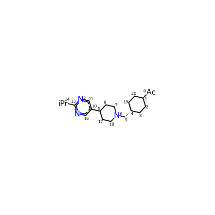 CC(=O)[C@H]1CC[C@H](CN2CCC(c3cnc(C(C)C)nc3)CC2)CC1